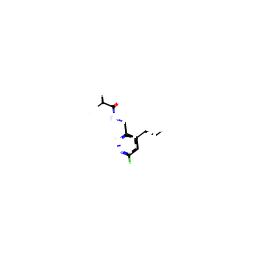 CCCc1cc(Cl)nnc1CNC(=O)C(C)C